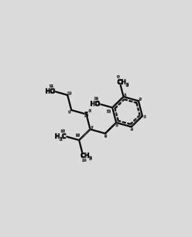 Cc1cccc(CC(SCCO)C(C)C)c1O